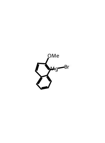 COc1ccc2ccccc2[c]1[Mg][Br]